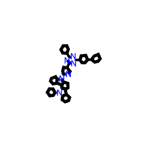 c1ccc(-c2ccc(-c3nc(-c4ccccc4)nc(-c4ccc(-n5c6ccccc6c6c5ccc5c7ccccc7n(-c7ccccc7)c56)nc4)n3)cc2)cc1